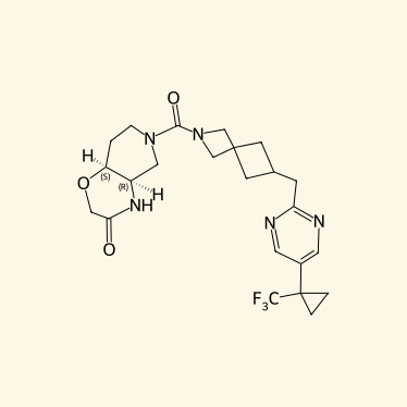 O=C1CO[C@H]2CCN(C(=O)N3CC4(CC(Cc5ncc(C6(C(F)(F)F)CC6)cn5)C4)C3)C[C@H]2N1